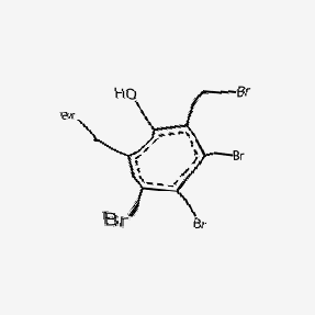 Oc1c(CBr)c(Br)c(Br)c(Br)c1CBr